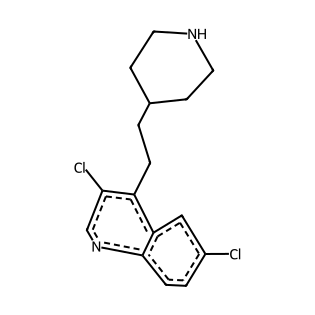 Clc1ccc2ncc(Cl)c(CCC3CCNCC3)c2c1